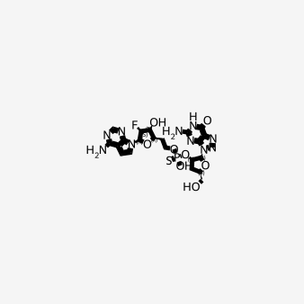 Nc1nc2c(nnn2[C@@H]2O[C@H](CO)C[C@H]2OP(O)(=S)OCC[C@H]2O[C@@H](n3ccc4c(N)ncnc43)[C@@H](F)[C@@H]2O)c(=O)[nH]1